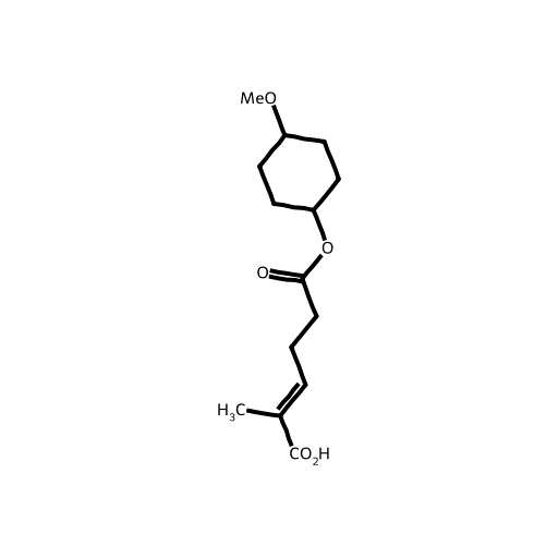 COC1CCC(OC(=O)CCC=C(C)C(=O)O)CC1